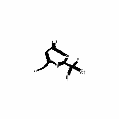 CCC(F)(F)c1nc(Cl)cc(Cl)n1